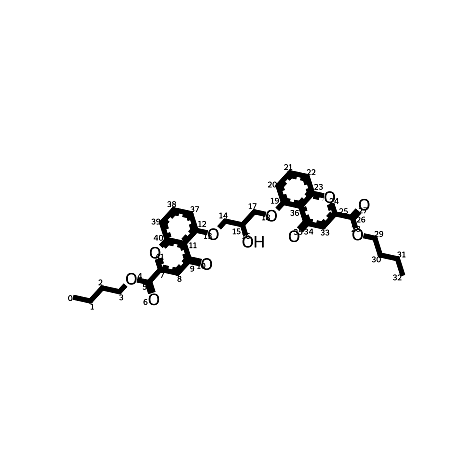 CCCCOC(=O)c1cc(=O)c2c(OCC(O)COc3cccc4oc(C(=O)OCCCC)cc(=O)c34)cccc2o1